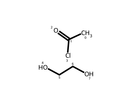 CC(=O)Cl.OCCO